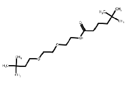 CC(C)(C)CCCC(=O)NCCOCCOCCC(C)(C)C